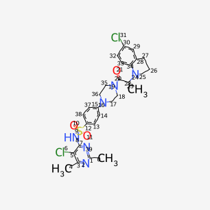 Cc1nc(C)c(Cl)c(NS(=O)(=O)c2ccc(N3CCN(C(=O)[C@H](C)N4CCCc5cc(Cl)ccc54)CC3)cc2)n1